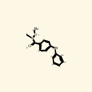 CN(OC(C)(C)C)C(=O)c1ccc(Nc2ccccc2)cc1